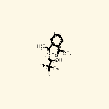 CC(C)c1ccccc1C(N)=O.O=C(O)C(F)(F)F